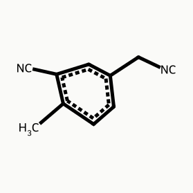 [C-]#[N+]Cc1ccc(C)c(C#N)c1